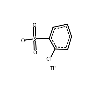 O=S(=O)([O-])c1ccccc1Cl.[Tl+]